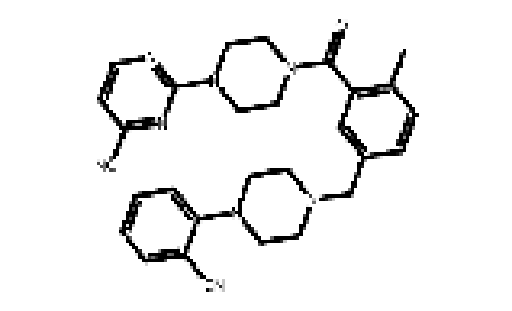 Cc1ccc(CN2CCN(c3ccccc3C#N)CC2)cc1C(=O)N1CCN(c2nccc(C#N)n2)CC1